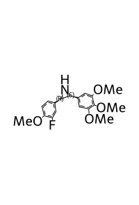 COc1ccc([C@H]2N[C@H]2c2cc(OC)c(OC)c(OC)c2)cc1F